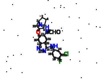 CN1C2CCC1CC(Oc1cc3ncnc(Nc4ccc(F)c(Cl)c4)c3cc1NC=O)C2